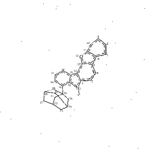 Cn1c2ccc3c4ccccc4oc3c2c2cccc(C34CC5CC(CC(C5)C3)C4)c21